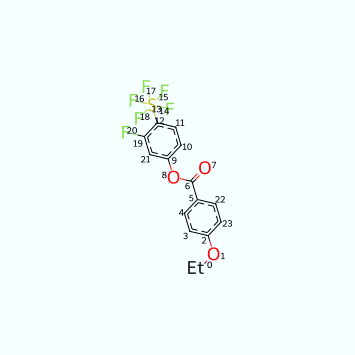 CCOc1ccc(C(=O)Oc2ccc(S(F)(F)(F)(F)F)c(F)c2)cc1